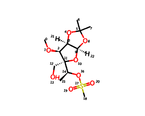 CO[C@H]1[C@H]2OC(C)(C)O[C@H]2O[C@@]1(CO)[C@H](C)OS(C)(=O)=O